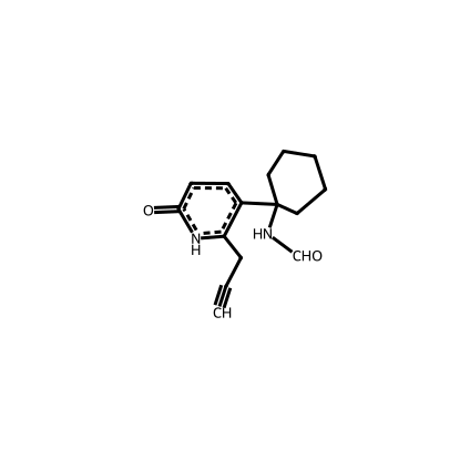 C#CCc1[nH]c(=O)ccc1C1(NC=O)CCCCC1